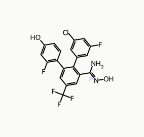 N/C(=N\O)c1cc(C(F)(F)F)cc(-c2ccc(O)cc2F)c1-c1cc(F)cc(Cl)c1